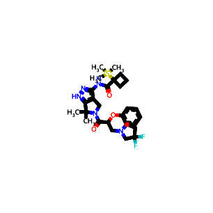 CC1(C)c2[nH]nc(NC(=O)C3(S(C)(C)C)CCC3)c2CN1C(=O)C(CN1CCC(F)(F)C1)Oc1ccccc1